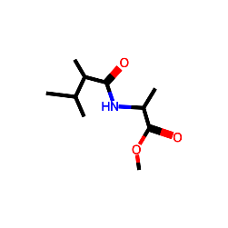 COC(=O)C(C)NC(=O)C(C)C(C)C